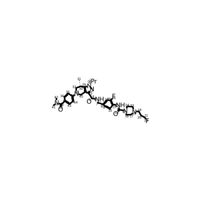 CC(C)n1nc(C(=O)NCc2ccc(NC(=O)N3CCN(CCCF)CC3)c(F)c2)c2c1[C@@H](C)CN(c1ccc(C(=O)N(C)C)cc1)C2